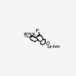 CCCCCCOc1ccc2c(c1)cc(F)c1cc(OCCCCCC)ccc12